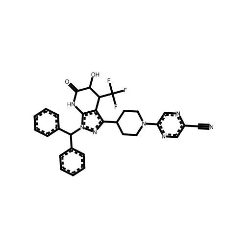 N#Cc1cnc(N2CCC(c3nn(C(c4ccccc4)c4ccccc4)c4c3C(C(F)(F)F)C(O)C(=O)N4)CC2)cn1